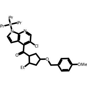 CCC1CC(OCc2ccc(OC)cc2)CC1C(=O)c1c(Cl)cnc2c1ccn2S(C(C)C)(C(C)C)C(C)C